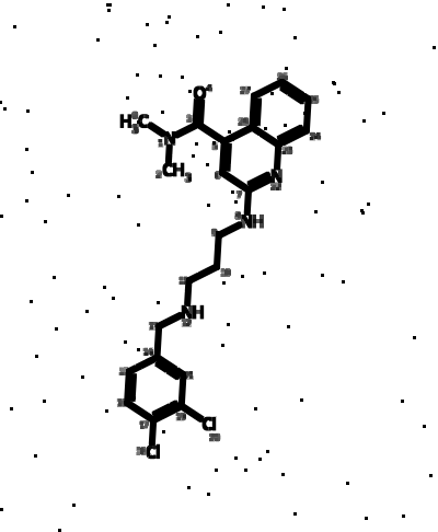 CN(C)C(=O)c1cc(NCCCNCc2ccc(Cl)c(Cl)c2)nc2ccccc12